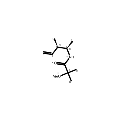 C=C[C@@H](C)[C@@H](C)NC(=O)C(C)(C)OC